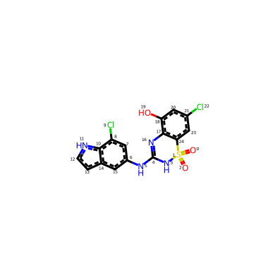 O=S1(=O)NC(Nc2cc(Cl)c3[nH]ccc3c2)=Nc2c(O)cc(Cl)cc21